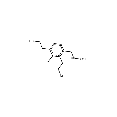 [CH2]c1c(CCO)ccc(CNC(=O)O)c1CCO